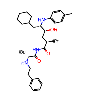 CC[C@H](C)[C@H](NCCc1ccccc1)C(=O)NC(=O)[C@@H](C[C@H](O)[C@H](CC1CCCCC1)Nc1ccc(C)cc1)C(C)C